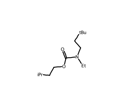 CCN(CCC(C)(C)C)C(=O)OCCC(C)C